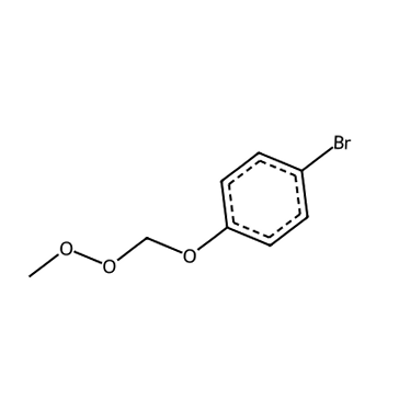 COOCOc1ccc(Br)cc1